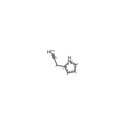 C#CCc1ccc[nH]1